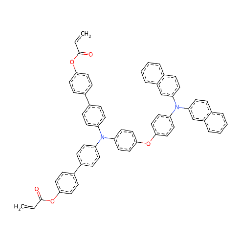 C=CC(=O)Oc1ccc(-c2ccc(N(c3ccc(Oc4ccc(N(c5ccc6ccccc6c5)c5ccc6ccccc6c5)cc4)cc3)c3ccc(-c4ccc(OC(=O)C=C)cc4)cc3)cc2)cc1